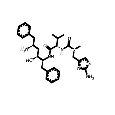 CC(C)[C@H](NC(=O)N(C)Cc1csc(N)n1)C(=O)N[C@@H](Cc1ccccc1)[C@@H](O)C[C@@H](N)Cc1ccccc1